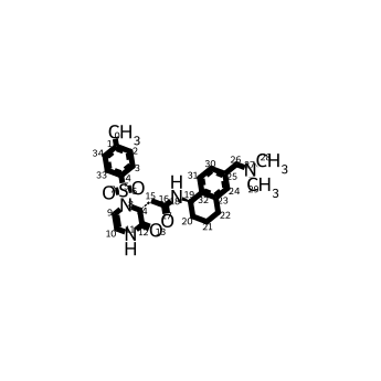 Cc1ccc(S(=O)(=O)N2C=CNC(=O)[C@H]2CC(=O)N[C@@H]2CCCc3cc(CN(C)C)ccc32)cc1